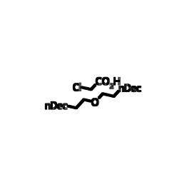 CCCCCCCCCCCCOCCCCCCCCCCCC.O=C(O)CCl